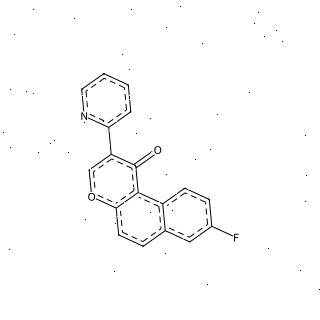 O=c1c(-c2ccccn2)coc2ccc3cc(F)ccc3c12